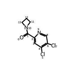 O=C(c1cc(Cl)c(Cl)cn1)N1CCC1